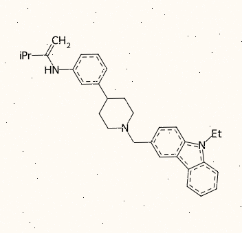 C=C(Nc1cccc(C2CCN(Cc3ccc4c(c3)c3ccccc3n4CC)CC2)c1)C(C)C